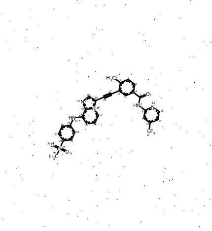 Cc1ccc(C(=O)Nc2cc(C(F)(F)F)ccn2)cc1C#Cc1cnc2c(Nc3ccc(S(C)(=O)=O)cc3)cccn12